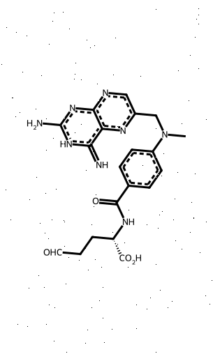 CN(Cc1cnc2nc(N)[nH]c(=N)c2n1)c1ccc(C(=O)N[C@@H](CCC=O)C(=O)O)cc1